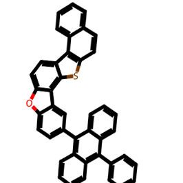 c1ccc(-c2c3ccccc3c(-c3ccc4oc5ccc6c(sc7ccc8ccccc8c76)c5c4c3)c3ccccc23)cc1